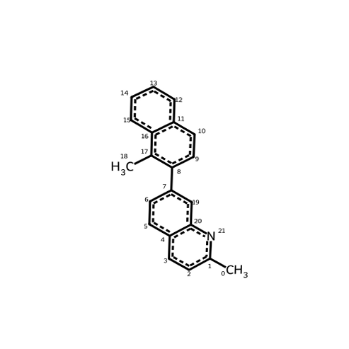 Cc1ccc2ccc(-c3ccc4ccccc4c3C)cc2n1